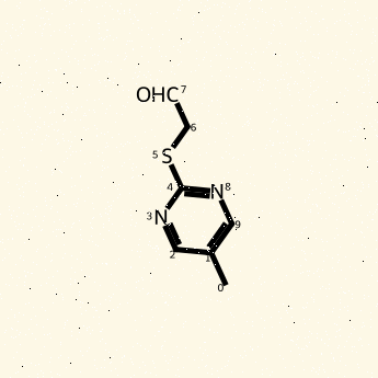 Cc1cnc(SCC=O)nc1